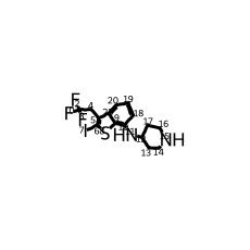 FC(F)(F)Cc1c(I)sc2c(NC3CCNCC3)cccc12